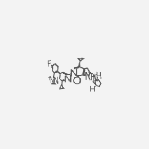 Cn1ccnc1-c1cc(F)ccc1-c1cc(C2CC2)nc(-n2cc(C3CC3)c3cc(CN4C[C@@H]5CC[C@H]4C5)[nH]c3c2=O)c1